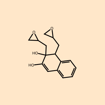 OC1=Cc2ccccc2C(CC2CO2)C1(O)CC1CO1